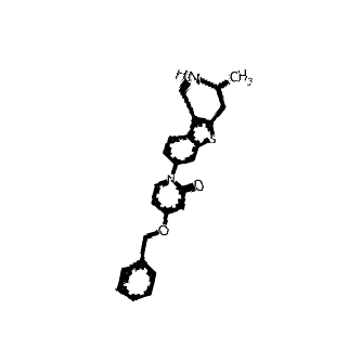 CC1Cc2sc3cc(-n4ccc(OCc5ccccc5)cc4=O)ccc3c2CN1